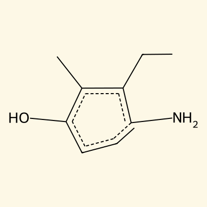 CCc1c(N)ccc(O)c1C